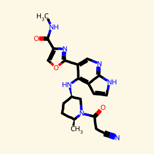 CNC(=O)c1coc(-c2cnc3[nH]ccc3c2N[C@@H]2CC[C@H](C)N(C(=O)CC#N)C2)n1